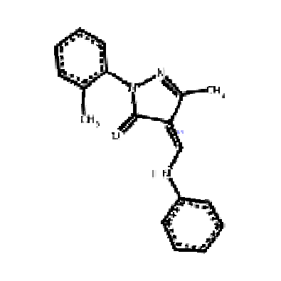 CC1=NN(c2ccccc2C)C(=O)/C1=C\Nc1ccccc1